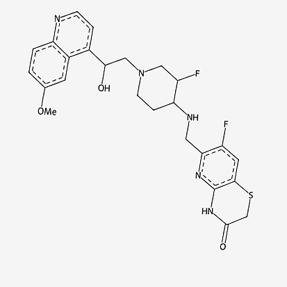 COc1ccc2nccc(C(O)CN3CCC(NCc4nc5c(cc4F)SCC(=O)N5)C(F)C3)c2c1